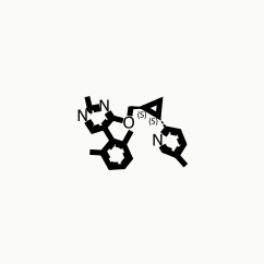 Cc1ccc([C@H]2C[C@@H]2COc2nc(C)ncc2-c2c(C)cccc2C)nc1